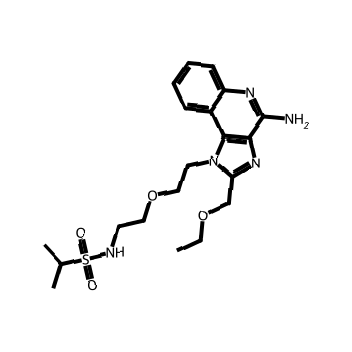 CCOCc1nc2c(N)nc3ccccc3c2n1CCOCCNS(=O)(=O)C(C)C